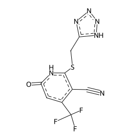 N#Cc1c(C(F)(F)F)cc(=O)[nH]c1SCc1nnn[nH]1